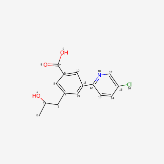 CC(O)Cc1cc(C(=O)O)cc(-c2ccc(Cl)cn2)c1